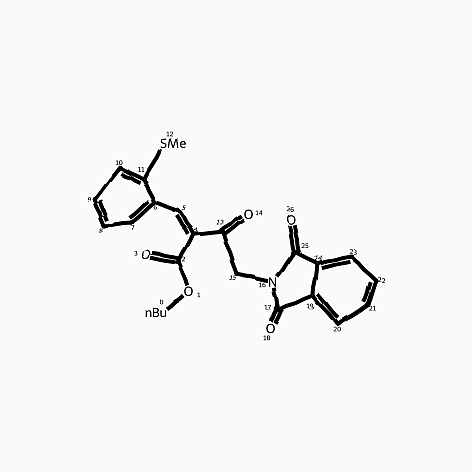 CCCCOC(=O)C(=Cc1ccccc1SC)C(=O)CN1C(=O)c2ccccc2C1=O